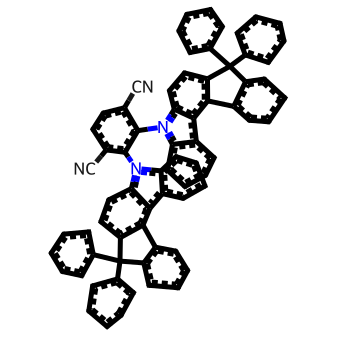 N#Cc1ccc(C#N)c(-n2c3ccccc3c3c4c(ccc32)C(c2ccccc2)(c2ccccc2)c2ccccc2-4)c1-n1c2ccccc2c2c3c(ccc21)C(c1ccccc1)(c1ccccc1)c1ccccc1-3